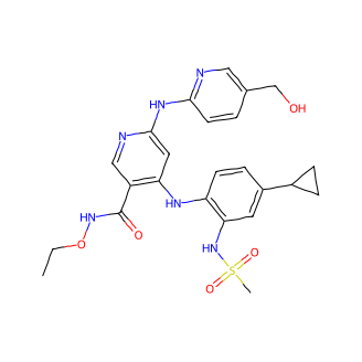 CCONC(=O)c1cnc(Nc2ccc(CO)cn2)cc1Nc1ccc(C2CC2)cc1NS(C)(=O)=O